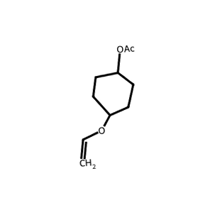 C=COC1CCC(OC(C)=O)CC1